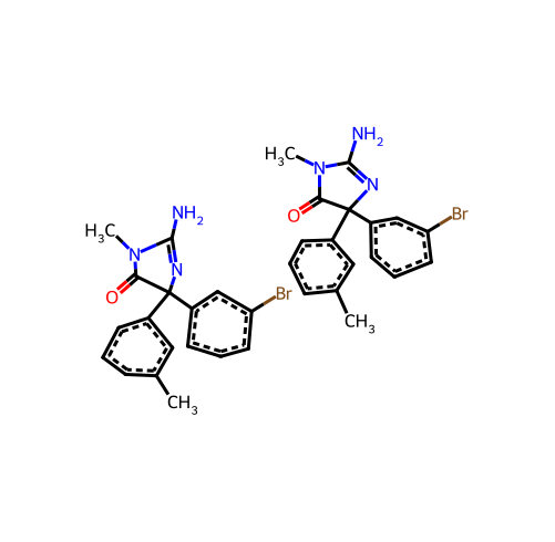 Cc1cccc(C2(c3cccc(Br)c3)N=C(N)N(C)C2=O)c1.Cc1cccc(C2(c3cccc(Br)c3)N=C(N)N(C)C2=O)c1